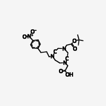 CC(C)(C)OC(=O)CN1CCN(CCCc2ccc([N+](=O)[O-])cc2)CCN(CC(=O)O)CC1